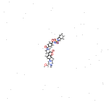 COC[C@H]1CN(c2cc(C)c3c4c(c(=O)oc3c2C)CN(C(=O)c2ccc(C(=O)NS(=O)(=O)N3CC5CCCCC5C3)cc2)CC4)CCN1C